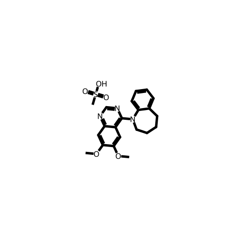 COc1cc2ncnc(N3CCCCc4ccccc43)c2cc1OC.CS(=O)(=O)O